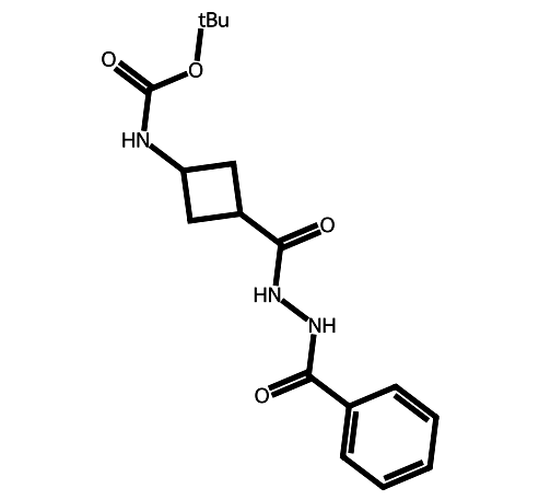 CC(C)(C)OC(=O)NC1CC(C(=O)NNC(=O)c2ccccc2)C1